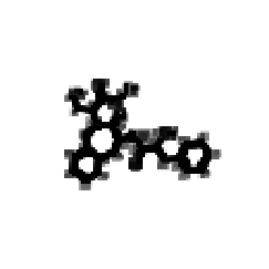 CCSC(=O)C(CC(C)C)N1Cc2ccccc2CC(NC(=O)C(S)Cc2ccccc2)C1=O